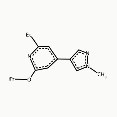 CCc1cc(-c2cnn(C)c2)cc(OC(C)C)n1